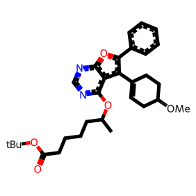 COC1CC=C(c2c(-c3ccccc3)oc3ncnc(OC(C)CCCCC(=O)OC(C)(C)C)c23)CC1